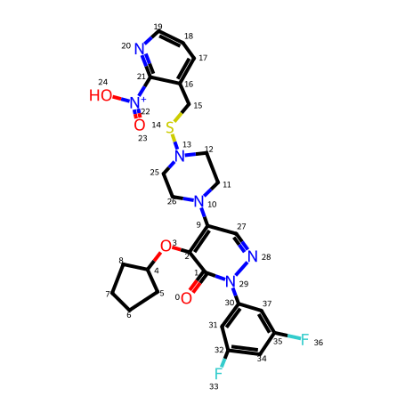 O=c1c(OC2CCCC2)c(N2CCN(SCc3cccnc3[N+](=O)O)CC2)cnn1-c1cc(F)cc(F)c1